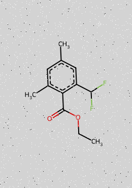 CCOC(=O)c1c(C)cc(C)cc1C(F)F